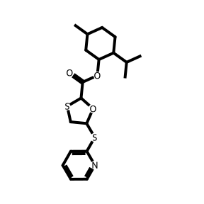 CC1CCC(C(C)C)C(OC(=O)C2OC(Sc3ccccn3)CS2)C1